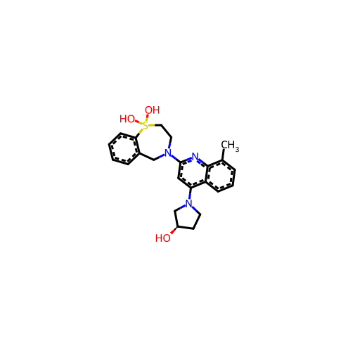 Cc1cccc2c(N3CC[C@@H](O)C3)cc(N3CCS(O)(O)c4ccccc4C3)nc12